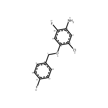 Nc1cc(Cl)c(OCc2ccc(F)cc2)cc1F